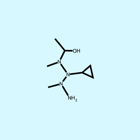 CC(O)N(C)N(C1CC1)N(C)N